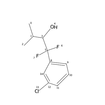 CC(C)C(O)C(F)(F)c1cccc(Cl)c1